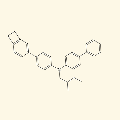 CCC(C)CN(c1ccc(-c2ccccc2)cc1)c1ccc(-c2ccc3c(c2)CC3)cc1